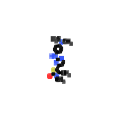 Cc1c(-c2ccnc(Nc3ccc(N(C)C)cc3)n2)sc(=O)n1C